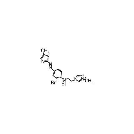 CCN(CCn1cc[n+](C)c1)c1ccc(N=Nc2ncc(C)s2)cc1.[Br-]